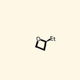 CC[C@H]1CCO1